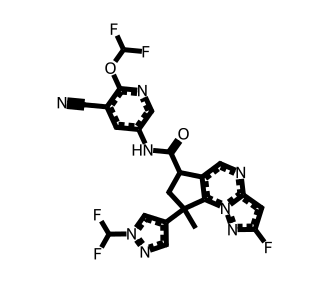 CC1(c2cnn(C(F)F)c2)CC(C(=O)Nc2cnc(OC(F)F)c(C#N)c2)c2cnc3cc(F)nn3c21